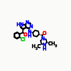 C[C@@H]1CN(C(=O)[C@H]2CC[C@@H](Nc3ncnc4[nH]cc(C(=O)c5ccccc5Cl)c34)CC2)C[C@H](C)N1